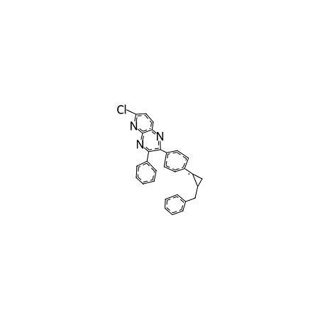 Clc1ccc2nc(-c3ccc([C]4CC4Cc4ccccc4)cc3)c(-c3ccccc3)nc2n1